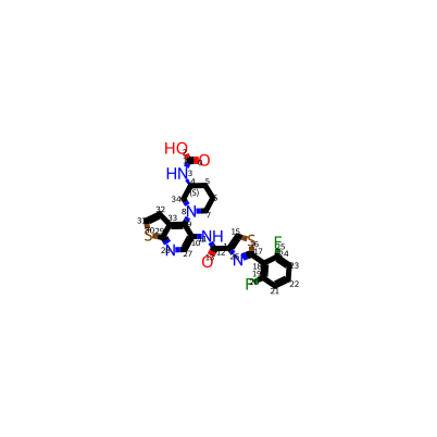 O=C(O)N[C@H]1CCCN(c2c(NC(=O)c3csc(-c4c(F)cccc4F)n3)cnc3sccc23)C1